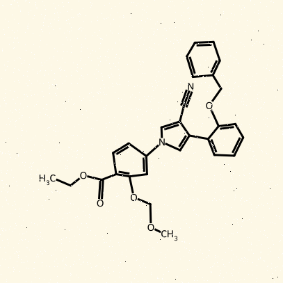 CCOC(=O)c1ccc(-n2cc(C#N)c(-c3ccccc3OCc3ccccc3)c2)cc1OCOC